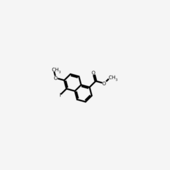 COC(=O)c1cccc2c(I)c(OC)ccc12